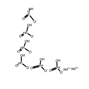 O=[PH]([O-])O.O=[PH]([O-])O.O=[PH]([O-])O.O=[PH]([O-])O.O=[PH]([O-])O.O=[PH]([O-])O.[Nd+3].[Nd+3]